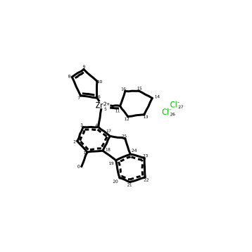 Cc1cc[c]([Zr+2]([C]2=CC=CC2)=[C]2CCCCC2)c2c1-c1ccccc1C2.[Cl-].[Cl-]